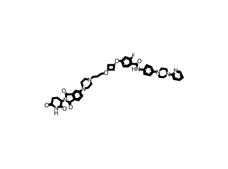 O=C1CCC(N2C(=O)c3ccc(N4CCN(CCCO[C@H]5C[C@H](Oc6ccc(C(=O)Nc7ccc(N8CCN(c9ccccn9)CC8)cc7)c(F)c6)C5)CC4)cc3C2=O)C(=O)N1